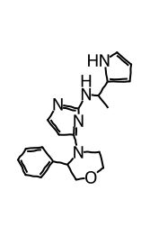 CC(Nc1nccc(N2CCOCC2c2ccccc2)n1)c1ccc[nH]1